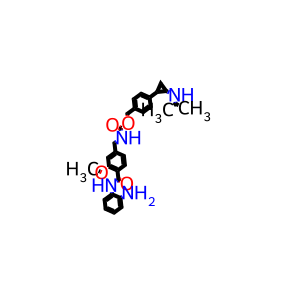 COc1cc(CNC(=O)OCc2ccc(C3CC3NC(C)C)cc2)ccc1C(=O)Nc1ccccc1N